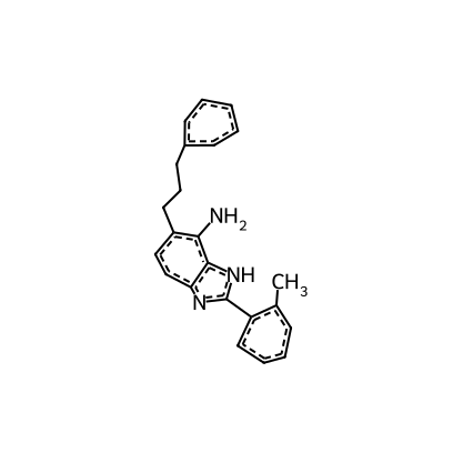 Cc1ccccc1-c1nc2ccc(CCCc3ccccc3)c(N)c2[nH]1